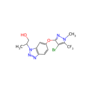 CC(CO)n1nnc2ccc(Oc3nn(C)c(C(F)(F)F)c3Br)cc21